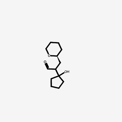 O=CC(C[C@@H]1CCCCO1)C1(O)CCCC1